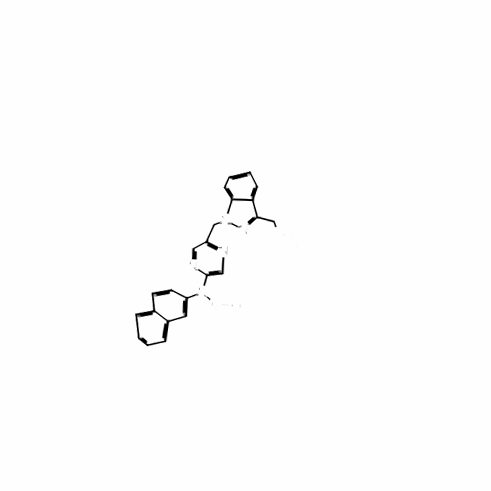 CCOC(=O)Cc1nn(Cc2cnc(N(C=O)c3ccc4ccccc4c3)cn2)c2ccccc12